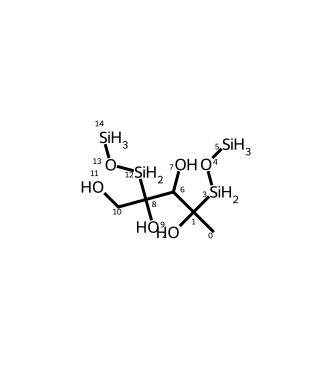 CC(O)([SiH2]O[SiH3])C(O)C(O)(CO)[SiH2]O[SiH3]